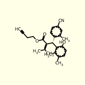 C#CCCOC(=O)C(=C(C)C)[C@H](c1ccc(C#N)cc1C)c1c(O)ccc(C)c1C